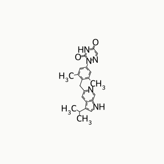 Cc1cc(-n2ncc(=O)[nH]c2=O)cc(C)c1Cc1cc2c(C(C)C)c[nH]c2cn1